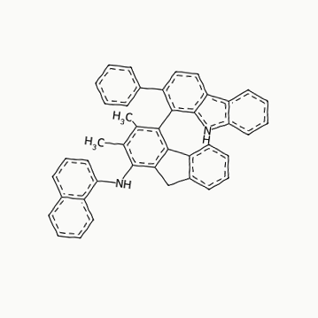 Cc1c(C)c(-c2c(-c3ccccc3)ccc3c2[nH]c2ccccc23)c2c(c1Nc1cccc3ccccc13)Cc1ccccc1-2